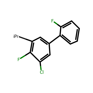 CC(C)c1cc(-c2ccccc2F)cc(Cl)c1F